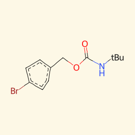 CC(C)(C)NC(=O)OCc1ccc(Br)cc1